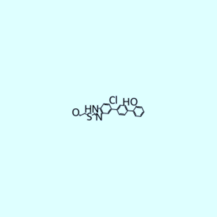 O=CCSc1nc2cc(-c3ccc(-c4ccccc4O)cc3)c(Cl)cc2[nH]1